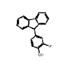 Oc1ccc(C2c3ccccc3-c3ccccc32)cc1Br